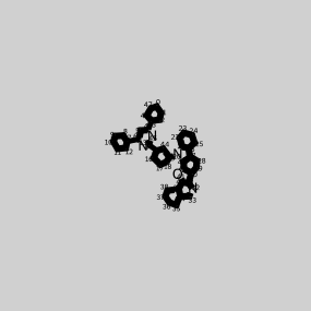 c1ccc(-c2cc(-c3ccccc3)nc(-c3cccc(-n4c5ccccc5c5ccc6c7ncc8ccccc8c7oc6c54)c3)n2)cc1